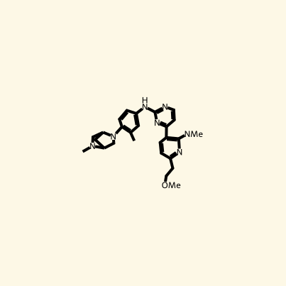 CNc1nc(CCOC)ccc1-c1ccnc(Nc2ccc(N3CC4CC3CN4C)c(C)c2)n1